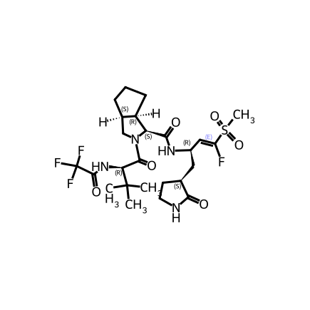 CC(C)(C)[C@@H](NC(=O)C(F)(F)F)C(=O)N1C[C@H]2CCC[C@H]2[C@H]1C(=O)N[C@@H](/C=C(\F)S(C)(=O)=O)C[C@@H]1CCNC1=O